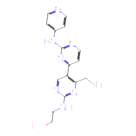 CC(C)Cc1nc(NCCO)ncc1-c1ccnc(Nc2ccncc2)n1